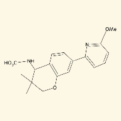 COc1cccc(-c2ccc3c(c2)OCC(C)(C)C3NC(=O)O)n1